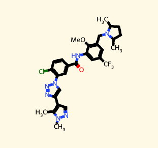 COc1c(CN2C(C)CCC2C)cc(C(F)(F)F)cc1NC(=O)c1ccc(Cl)c(-n2cc(-c3cnn(C)c3C)nn2)c1